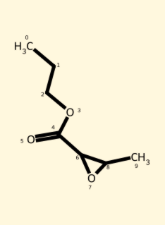 CCCOC(=O)C1OC1C